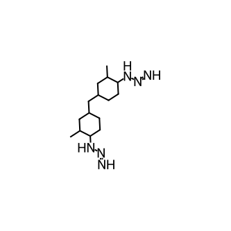 CC1CC(CC2CCC(NN=N)C(C)C2)CCC1NN=N